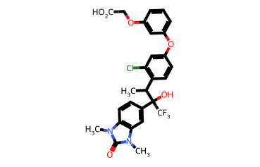 CC(c1ccc(Oc2cccc(OCC(=O)O)c2)cc1Cl)C(O)(c1ccc2c(c1)n(C)c(=O)n2C)C(F)(F)F